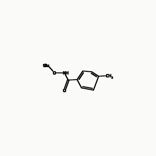 Cc1ccc(C(=O)NOC(C)(C)C)cc1